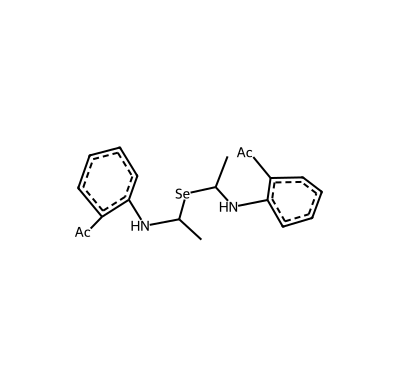 CC(=O)c1ccccc1NC(C)[Se]C(C)Nc1ccccc1C(C)=O